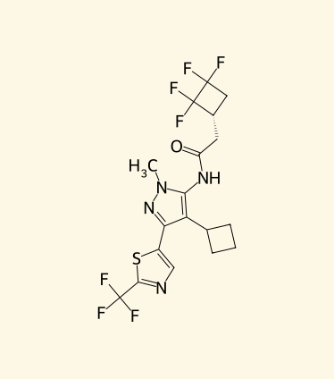 Cn1nc(-c2cnc(C(F)(F)F)s2)c(C2CCC2)c1NC(=O)C[C@H]1CC(F)(F)C1(F)F